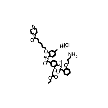 CCOC(=O)COc1cc(C(=O)N(C)c2ccc(C)cc2OCCCCCC(=O)N2CCN(C)CC2)ccc1NC(=O)c1ccccc1OCCCN.Cl.Cl